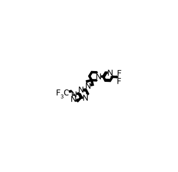 FC(F)c1ccc(N2CCCC3(C2)CN(c2cnc4cnn(CC(F)(F)F)c4n2)C3)cn1